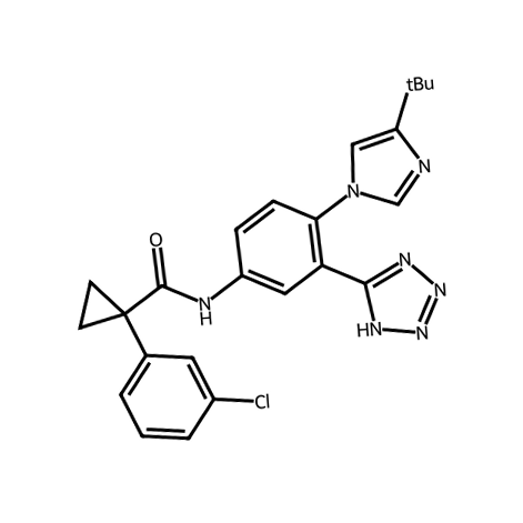 CC(C)(C)c1cn(-c2ccc(NC(=O)C3(c4cccc(Cl)c4)CC3)cc2-c2nnn[nH]2)cn1